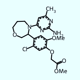 COC(=O)COc1cc(Cl)c(C2COCCCN2c2cc(C)nc(N)n2)cc1OC